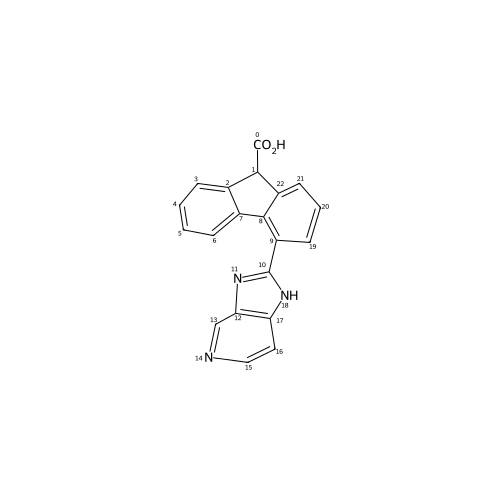 O=C(O)C1c2ccccc2-c2c(-c3nc4cnccc4[nH]3)cccc21